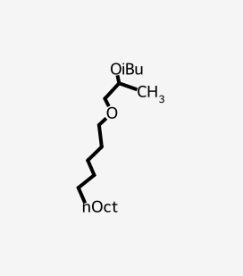 CCCCCCCCCCCCCOCC(C)OCC(C)C